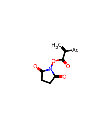 C=C(C(C)=O)C(=O)ON1C(=O)CCC1=O